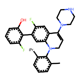 Cc1cccc(C(C)C)c1N1CC=C(N2CCNCC2)c2cc(F)c(-c3c(O)cccc3F)cc21